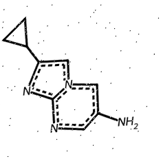 Nc1cnc2nc(C3CC3)cn2c1